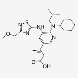 COCc1nsc(Nc2cc([C@H](C)CC(=O)O)cnc2N(CC(C)C)C2CCCCC2)n1